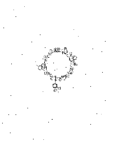 CC[C@H](C)[C@@H]1NC(=O)[C@H](CC(C)C)N(C)C(=O)C[C@@H](C(=O)N2CCCC2)N(C)C(=O)[C@H]([C@@H](C)CC)N(C)C(=O)C2(CCCC2)NC(=O)[C@@H]2CCCN2C(=O)[C@H](CCc2ccc(C(F)(F)F)c(Cl)c2)NC(=O)CN(C)C(=O)[C@H](Cc2ccc(C)cc2)N(C)C(=O)CN(C)C(=O)CN(C)C1=O